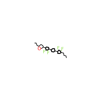 CCCCc1ccc(-c2ccc(-c3ccc(C4CCC(CCC)OC4)c(F)c3F)cc2)c(F)c1F